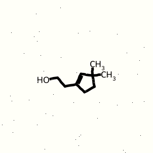 CC1(C)C=C(CCO)CC1